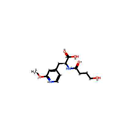 COc1cc(C[C@H](NC(=O)CCCO)C(=O)O)ccn1